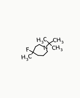 CC1(F)CCCN(C(C)(C)C)CC1